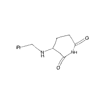 CC(C)CNC1CCC(=O)NC1=O